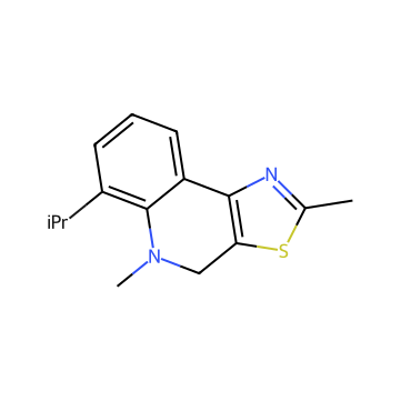 Cc1nc2c(s1)CN(C)c1c-2cccc1C(C)C